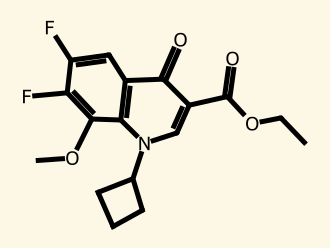 CCOC(=O)c1cn(C2CCC2)c2c(OC)c(F)c(F)cc2c1=O